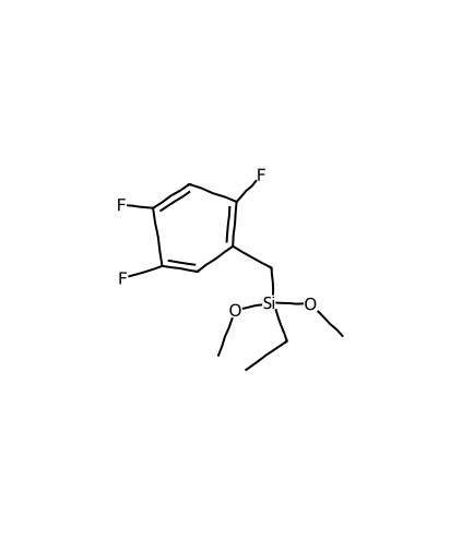 CC[Si](Cc1cc(F)c(F)cc1F)(OC)OC